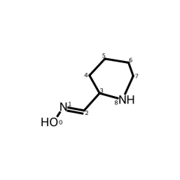 ON=CC1CCCCN1